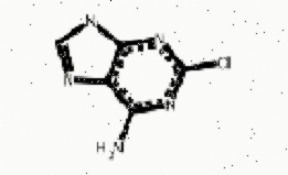 Nc1nc(Cl)nc2c1N=C[N]2